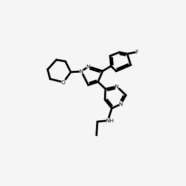 CCNc1cc(-c2cn(C3CCCCO3)nc2-c2ccc(F)cc2)ncn1